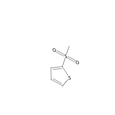 CS(=O)(=O)c1cc[c]s1